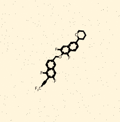 Fc1cc2cc(COc3c(F)cc4cc(C5CCCCO5)ccc4c3F)ccc2c(F)c1C#CC(F)(F)F